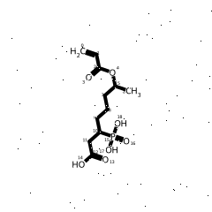 C=CC(=O)OC(C)CCCC(CC(=O)O)P(=O)(O)O